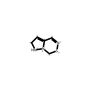 C1=NSCN2NCC=C12